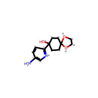 Nc1ccc(C2(O)CCC3(CC2)OCCO3)nc1